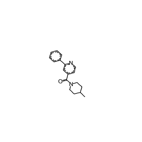 CC1CCN(C(=O)c2ccnc(-c3ccccc3)c2)CC1